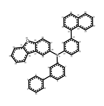 c1ccc(-c2cccc(N(c3cccc(-c4cccc5ccccc45)c3)c3ccc4oc5ccccc5c4c3)c2)cc1